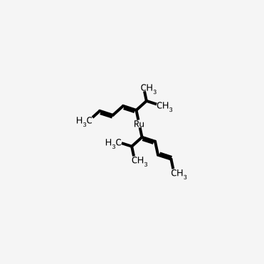 CC=CC=[C]([Ru][C](=CC=CC)C(C)C)C(C)C